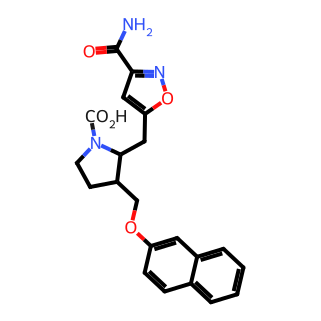 NC(=O)c1cc(CC2C(COc3ccc4ccccc4c3)CCN2C(=O)O)on1